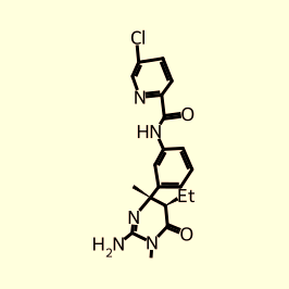 CC[C@H]1C(=O)N(C)C(N)=N[C@]1(C)c1cccc(NC(=O)c2ccc(Cl)cn2)c1